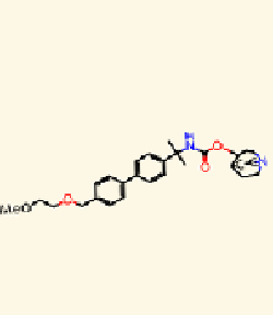 COCCOCc1ccc(-c2ccc(C(C)(C)NC(=O)OC3CCN4CCC3CC4)cc2)cc1